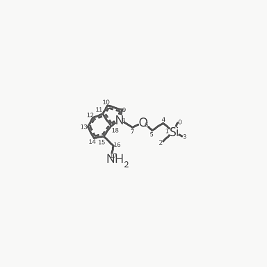 C[Si](C)(C)CCOCn1ccc2cccc(CN)c21